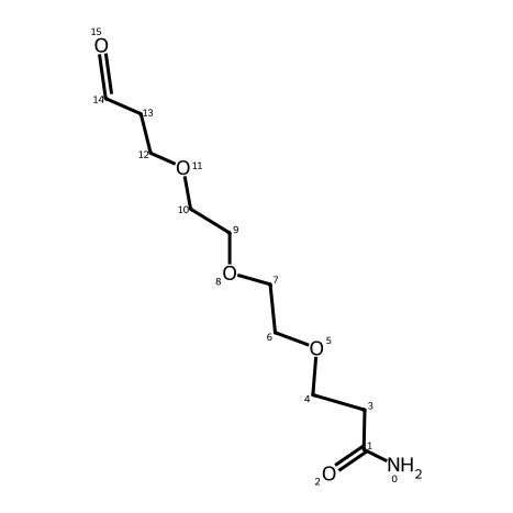 NC(=O)CCOCCOCCOCCC=O